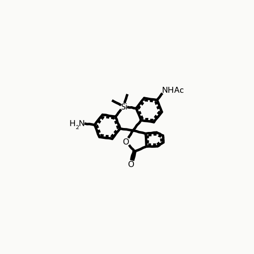 CC(=O)Nc1ccc2c(c1)[Si](C)(C)c1cc(N)ccc1C21OC(=O)c2ccccc21